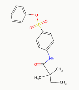 CCC(C)(C)C(=O)Nc1ccc(S(=O)(=O)Oc2ccccc2)cc1